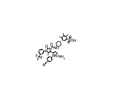 Cc1c(S(=O)(=O)O)cc([C@H]2CC[C@@H](NC(=O)n3c(-c4ccnn4-c4ccc(C#N)cc4)c(C)n(-c4cccc(C(F)(F)F)c4)c3=O)CC2)c(C)c1C.N